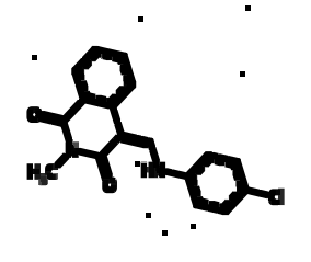 CN1C(=O)C(=CNc2ccc(Cl)cc2)c2ccccc2C1=O